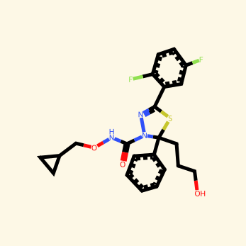 O=C(NOCC1CC1)N1N=C(c2cc(F)ccc2F)SC1(CCCO)c1ccccc1